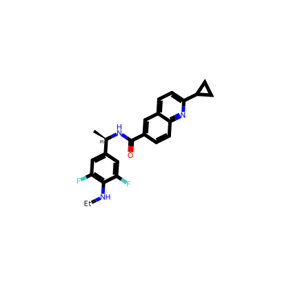 CCNc1c(F)cc([C@@H](C)NC(=O)c2ccc3nc(C4CC4)ccc3c2)cc1F